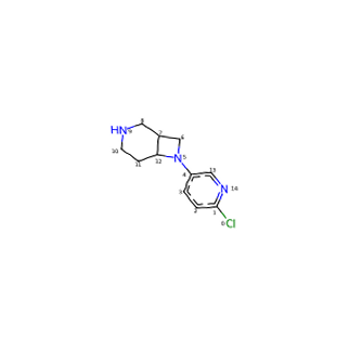 Clc1ccc(N2CC3CNCCC32)cn1